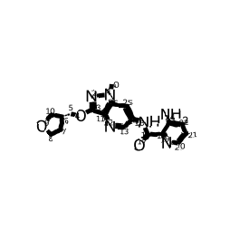 Cn1nc(OC[C@@H]2CCOC2)c2ncc(NC(=O)c3ncccc3N)cc21